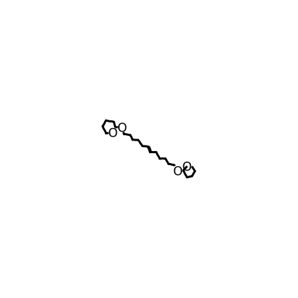 C(=C\CCCCCOC1CCCCO1)/CCCCCOC1CCCCO1